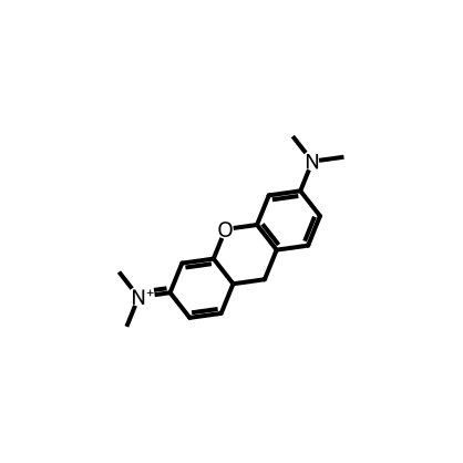 CN(C)c1ccc2c(c1)OC1=CC(=[N+](C)C)C=CC1C2